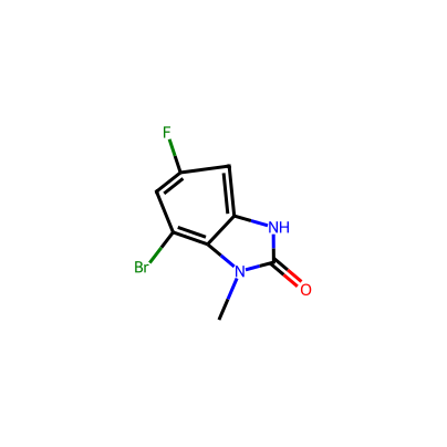 Cn1c(=O)[nH]c2cc(F)cc(Br)c21